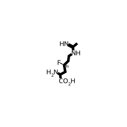 CC(=N)NCC[C@@H](F)CC(N)C(=O)O